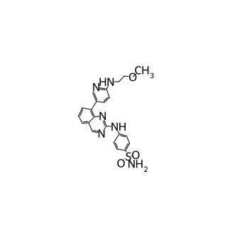 COCCNc1ccc(-c2cccc3cnc(Nc4ccc(S(N)(=O)=O)cc4)nc23)cn1